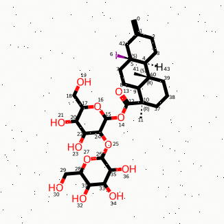 C=C1CC[C@@H]2[C@](I)(CCC3[C@](C)(C(=O)OC4OC(CO)C(O)C(O)C4OC4OC(CO)C(O)C(O)C4O)CCC[C@]32C)C1